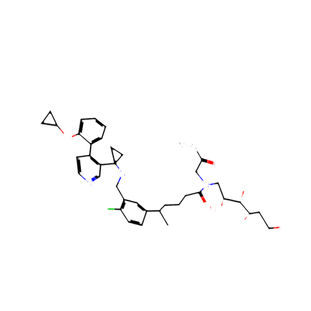 CNC(=O)CN(C[C@H](O)[C@@H](O)[C@H](O)[C@H](O)CO)C(=O)CCCC(C)c1ccc(Cl)c(CNC2(c3cnccc3-c3ccccc3OC3CC3)CC2)c1